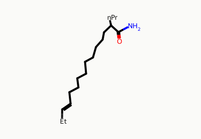 CC/C=C/CCCCCCCCCC(CCC)C(N)=O